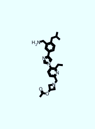 CCc1nc(CN2CC(OC(C)=O)C2)ccc1-n1cnc(-c2ccc(CC(C)C)c(CN)c2)c1